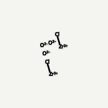 [Cl][Zr+3].[Cl][Zr+3].[O-2].[O-2].[O-2]